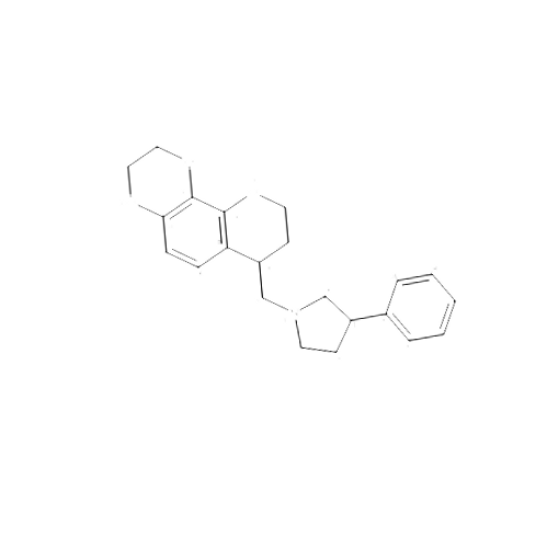 Cl.c1ccc(C2CCN(CC3CCOc4c3ccc3c4OCCO3)C2)cc1